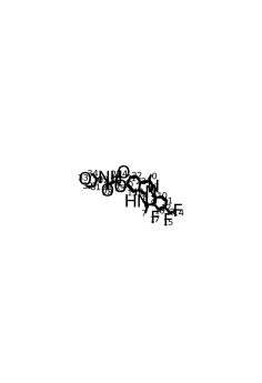 Cc1nnc(NC(C)c2cccc(C(F)F)c2F)c2cc3c(cc12)OCC(C(=O)NC1CCOC1)O3